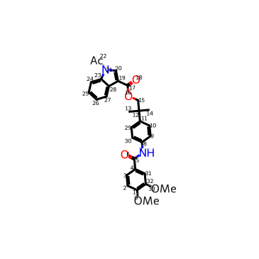 COc1ccc(C(=O)Nc2ccc(C(C)(C)COC(=O)c3cn(C(C)=O)c4ccccc34)cc2)cc1OC